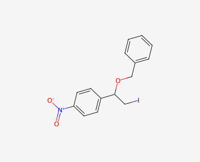 O=[N+]([O-])c1ccc(C(CI)OCc2ccccc2)cc1